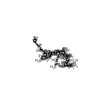 C=CC(=O)OCC(O)COC(=O)C1O[C@@H](C(CC)(CCCC)C(CCC)(OC2C(NC(C)=O)[C@H](O[C@H]3C(C(=O)OCC(O)COC(=O)CCSc4ccc(S)cc4)O[C@@H](C(C)(CC)CC(=C)C)C(O)C3O)OC(CO)[C@H]2O)C(C)C)C(O)C(O)[C@H]1O[C@@H]1OC(CO)[C@@H](O)C(OC(CCC)(CCC)C(CCC)(CCCC)[C@@H]2OC(C(=O)O)[C@H](O[C@H](OC(C)CO)C(NC(C)=O)[C@@H](C)OC(C)(C)CCC)C(O)C2O)C1NC(C)=O